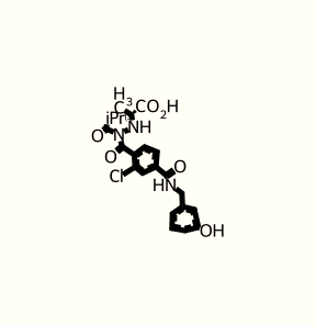 CC(C)C(=O)N(N[C@@H](C)C(=O)O)C(=O)c1ccc(C(=O)NCc2cccc(O)c2)cc1Cl